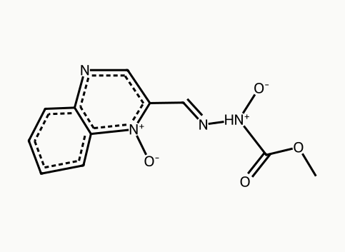 COC(=O)[NH+]([O-])N=Cc1cnc2ccccc2[n+]1[O-]